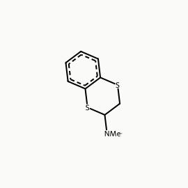 C[N]C1CSc2ccccc2S1